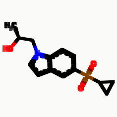 C[C@H](O)Cn1ccc2cc(S(=O)(=O)C3CC3)ccc21